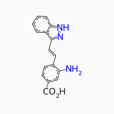 Nc1cc(C(=O)O)ccc1C=Cc1n[nH]c2ccccc12